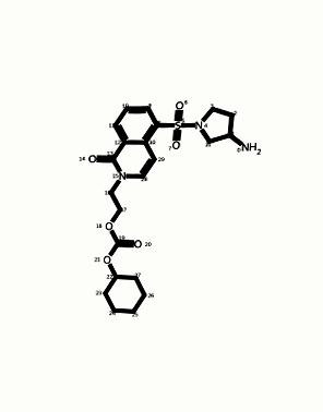 NC1CCN(S(=O)(=O)c2cccc3c(=O)n(CCOC(=O)OC4CCCCC4)ccc23)C1